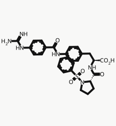 N=C(N)Nc1ccc(C(=O)Nc2ccc(C[C@H](NC(=O)[C@@H]3CCCN3S(=O)(=O)c3ccccc3)C(=O)O)cc2)cc1